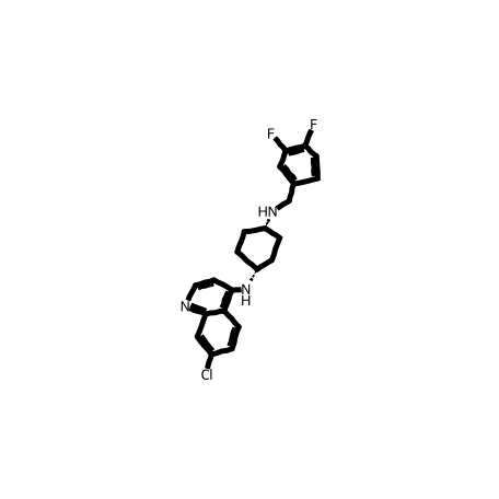 Fc1ccc(CN[C@H]2CC[C@@H](Nc3ccnc4cc(Cl)ccc34)CC2)cc1F